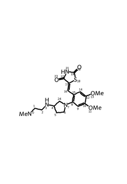 CNCCNC1CCN(c2cc(OC)c(OC)cc2/C=C2\SC(=O)NC2=O)C1